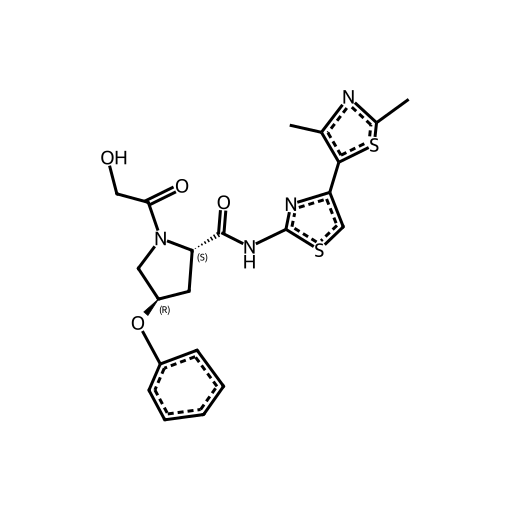 Cc1nc(C)c(-c2csc(NC(=O)[C@@H]3C[C@@H](Oc4ccccc4)CN3C(=O)CO)n2)s1